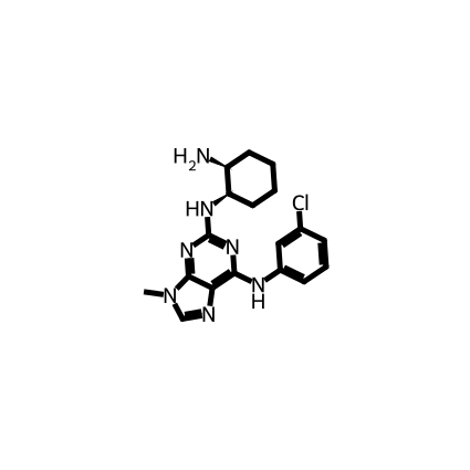 Cn1cnc2c(Nc3cccc(Cl)c3)nc(N[C@@H]3CCCC[C@@H]3N)nc21